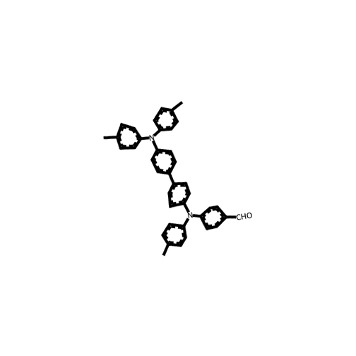 Cc1ccc(N(c2ccc(C)cc2)c2ccc(-c3ccc(N(c4ccc(C)cc4)c4ccc(C=O)cc4)cc3)cc2)cc1